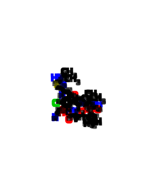 C=C[C@@H]1C[C@]1(NC(=O)[C@@H]1C[C@@H](Oc2cc(-c3csc(NC(C)C)n3)nc3c(Cl)c(OCC#N)ccc23)CN1C(=O)[C@@H](NC(=O)O[C@@H]1C[C@@H]2C[C@@H]2C1)C(C)(C)C)C(=O)O